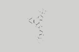 C[C@]1(O)C[C@](N)(c2ccc(-c3nc(-c4cnc(C5(F)CCOCC5)s4)sc3-c3ccccc3)cc2)C1